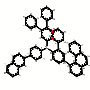 c1ccc(-c2ccc(N(c3ccc(-c4ccc5ccccc5c4)cc3)c3ccc(-c4cccc5ccc6ccccc6c45)cc3-c3ccccc3)cc2-c2ccccc2)cc1